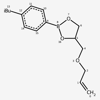 C=CCOCC1COB(c2ccc(C(C)CC)cc2)O1